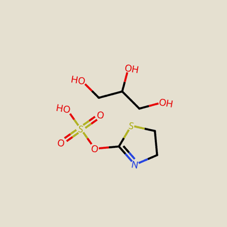 O=S(=O)(O)OC1=NCCS1.OCC(O)CO